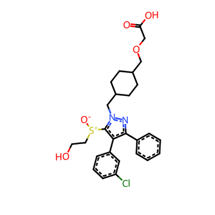 O=C(O)COCC1CCC(Cn2nc(-c3ccccc3)c(-c3cccc(Cl)c3)c2[S+]([O-])CCO)CC1